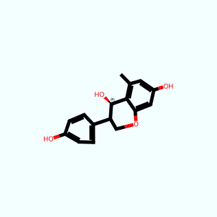 Cc1cc(O)cc2c1[C@H](O)C(c1ccc(O)cc1)CO2